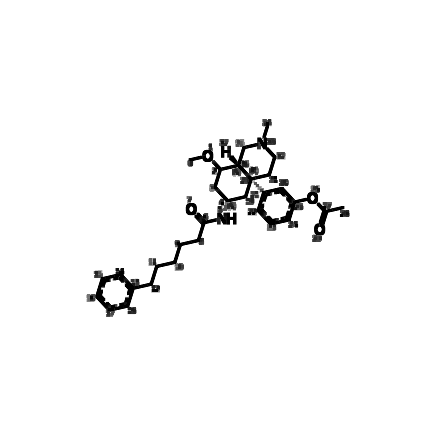 COC1C[C@@H](NC(=O)CCCCCc2ccccc2)C[C@]2(c3cccc(OC(C)=O)c3)CCN(C)C[C@@H]12